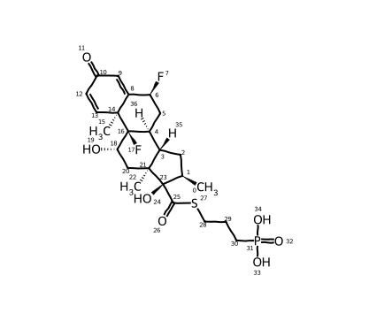 C[C@@H]1C[C@H]2[C@@H]3C[C@H](F)C4=CC(=O)C=C[C@]4(C)[C@@]3(F)[C@@H](O)C[C@]2(C)[C@@]1(O)C(=O)SCCCP(=O)(O)O